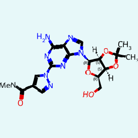 CNC(=O)c1cnn(-c2nc(N)c3ncn([C@@H]4O[C@H](CO)[C@@H]5OC(C)(C)O[C@@H]54)c3n2)c1